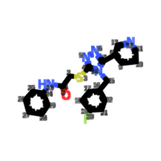 O=C(CSc1nnc(-c2cccnc2)n1Cc1ccc(F)cc1)Nc1ccccc1